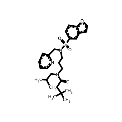 CC(C)CN(CCCN(Cc1ccccn1)S(=O)(=O)c1ccc2occc2c1)C(=O)CC(C)(C)C